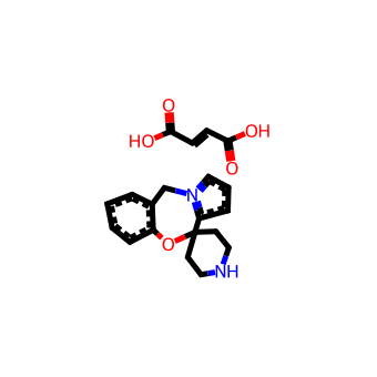 O=C(O)C=CC(=O)O.c1ccc2c(c1)Cn1cccc1C1(CCNCC1)O2